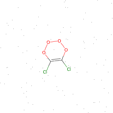 Clc1ooooc1Cl